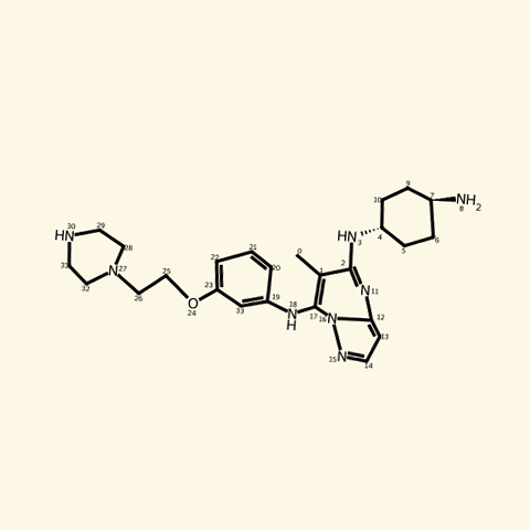 Cc1c(N[C@H]2CC[C@H](N)CC2)nc2ccnn2c1Nc1cccc(OCCN2CCNCC2)c1